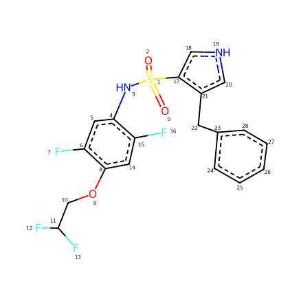 O=S(=O)(Nc1cc(F)c(OCC(F)F)cc1F)c1c[nH]cc1Cc1ccccc1